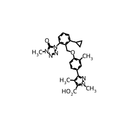 Cc1cc(-c2nn(C)c(C(=O)O)c2C)ccc1OCc1c(C2CC2)cccc1-n1nnn(C)c1=O